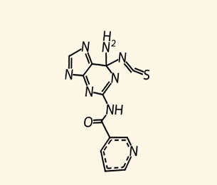 NC1(N=C=S)N=C(NC(=O)c2cccnc2)N=C2N=CN=C21